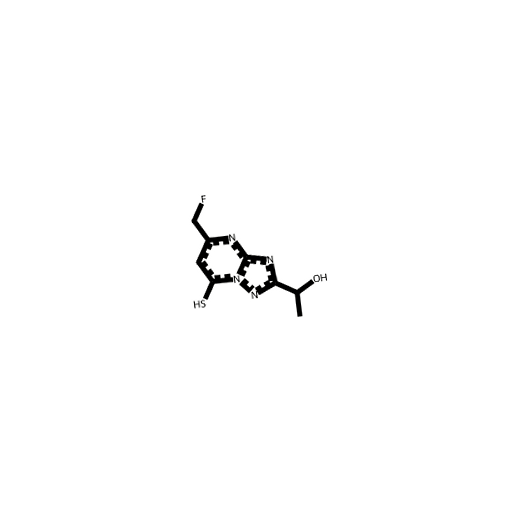 CC(O)c1nc2nc(CF)cc(S)n2n1